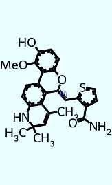 COc1c(O)ccc2c1-c1ccc3c(c1/C(=C/c1sccc1C(N)=O)O2)C(C)=CC(C)(C)N3